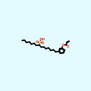 C=CC(=O)Oc1cccc(CCCCCCCC(CCCCCCC)S(=O)(=O)O)c1